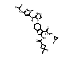 Cn1nc(OC(F)F)cc1Nc1nncn1[C@H]1CCc2sc(NC(=O)C3CC(F)(F)C3)c(C(=O)NC[C@@H]3C[C@@H]3F)c2C1